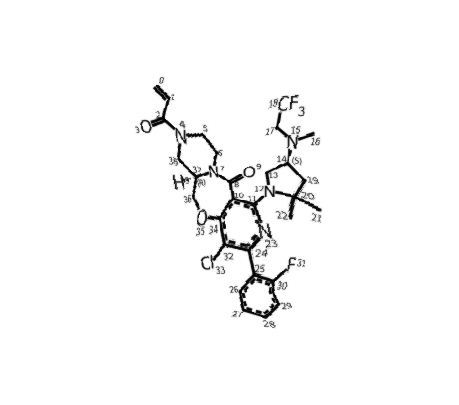 C=CC(=O)N1CCN2C(=O)c3c(N4C[C@@H](N(C)CC(F)(F)F)CC4(C)C)nc(-c4ccccc4F)c(Cl)c3OC[C@H]2C1